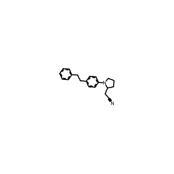 N#CCC1CCCN1c1ccc(CCc2ccccc2)cc1